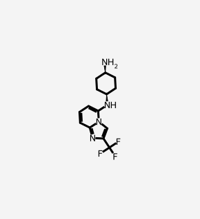 N[C@H]1CC[C@@H](Nc2cccc3nc(C(F)(F)F)cn23)CC1